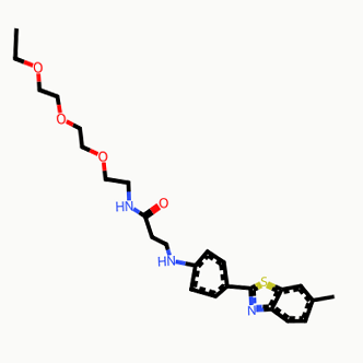 CCOCCOCCOCCNC(=O)CCNc1ccc(-c2nc3ccc(C)cc3s2)cc1